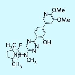 COc1cc(-c2ccc(-c3ncc(N(C)[C@H]4C[C@]5(C)CC[C@@](C)(N5)[C@H]4F)nn3)c(O)c2)cnc1OC